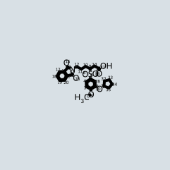 COc1ccc(S(=O)(=O)C(CCCN2C(=O)c3ccccc3C2=O)CC(=O)O)cc1OC1CCCC1